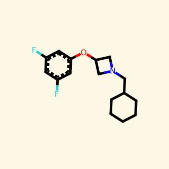 Fc1cc(F)cc(OC2CN(CC3CCCCC3)C2)c1